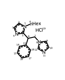 CCCCCCn1ccnc1C(Cn1ccnc1)c1ccccc1.Cl